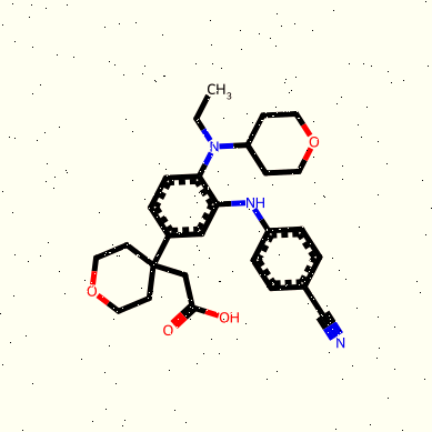 CCN(c1ccc(C2(CC(=O)O)CCOCC2)cc1Nc1ccc(C#N)cc1)C1CCOCC1